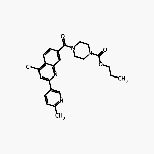 CCCOC(=O)N1CCN(C(=O)c2ccc3c(Cl)cc(-c4ccc(C)nc4)nc3c2)CC1